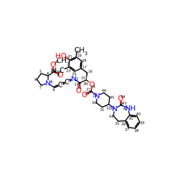 COC(=O)C1CCCN1C=C=C=NC(=O)[C@@H](Cc1cc(C)c(O)c(C)c1)OC(=O)N1CCC(N2CCc3ccccc3NC2=O)CC1